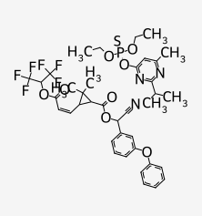 CC1(C)C(/C=C\C(=O)OC(C(F)(F)F)C(F)(F)F)C1C(=O)OC(C#N)c1cccc(Oc2ccccc2)c1.CCOP(=S)(OCC)Oc1cc(C)nc(C(C)C)n1